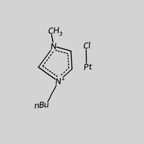 CCCC[n+]1ccn(C)c1.[Cl][Pt]